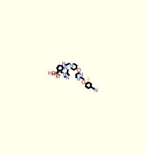 CCn1cncc1Cn1c(CN2CCC(Oc3ccnc(COc4ccc(C#N)cc4F)n3)CC2)nc2ccc(C(=O)O)cc21